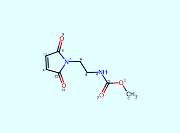 COC(=O)NCCN1C(=O)C=CC1=O